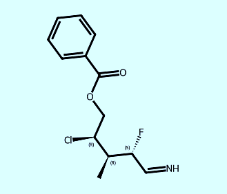 C[C@H]([C@H](F)C=N)[C@@H](Cl)COC(=O)c1ccccc1